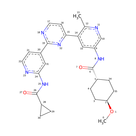 CO[C@H]1CC[C@H](C(=O)Nc2cnc(C)c(-c3ccnc(-c4ccnc(NC(=O)C5CC5)c4)n3)c2)CC1